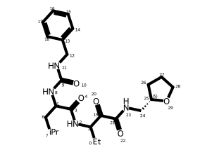 CCC(NC(=O)C(CC(C)C)NC(=O)NCc1ccccc1)C(=O)C(=O)NC[C@@H]1CCCO1